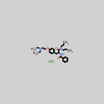 CCCN(CCC)C(=O)C(Cc1ccc(OCCN(CC)CC)cc1)NC(=O)c1ccccc1.Cl